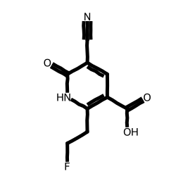 N#Cc1cc(C(=O)O)c(CCF)[nH]c1=O